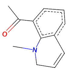 CC(=O)c1cccc2c1N(C)CC=C2